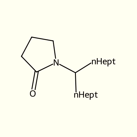 CCCCCCCC(CCCCCCC)N1CCCC1=O